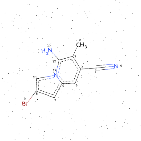 Cc1c(C#N)cc2cc(Br)cn2c1N